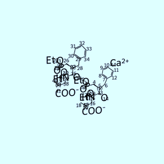 CCOP(=O)(C[C@@H](Cc1ccccc1)C(=O)NC[C@@H](C)C(=O)[O-])OCC.CCOP(=O)(C[C@@H](Cc1ccccc1)C(=O)NC[C@@H](C)C(=O)[O-])OCC.[Ca+2]